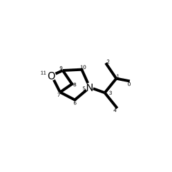 CC(C)C(C)N1CC2CC(C1)O2